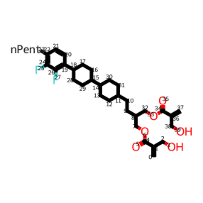 C=C(CO)C(=O)OCC(CCC1CCC(C2CCC(c3ccc(CCCCC)c(F)c3F)CC2)CC1)COC(=O)C(=C)CO